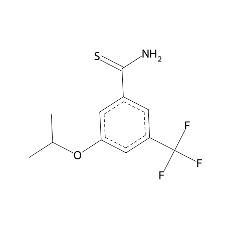 CC(C)Oc1cc(C(N)=S)cc(C(F)(F)F)c1